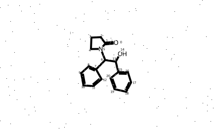 O=C1CCCN1C(c1ccccc1)C(O)c1ccccc1